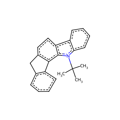 CC(C)(C)n1c2ccccc2c2ccc3c(c21)-c1ccccc1C3